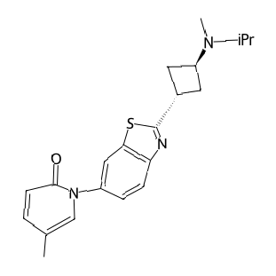 Cc1ccc(=O)n(-c2ccc3nc([C@H]4C[C@H](N(C)C(C)C)C4)sc3c2)c1